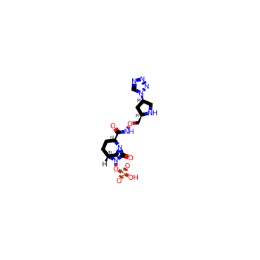 O=C(NOC[C@H]1C[C@@H](n2cnnn2)CN1)[C@@H]1CC[C@@H]2CN1C(=O)N2OS(=O)(=O)O